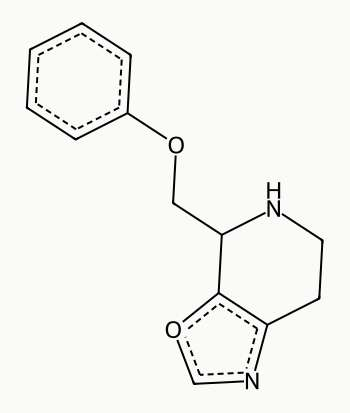 c1ccc(OCC2NCCc3ncoc32)cc1